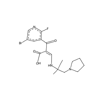 CC(C)(CN1CCCC1)N/C=C(\C(=O)O)C(=O)c1cc(Br)cnc1F